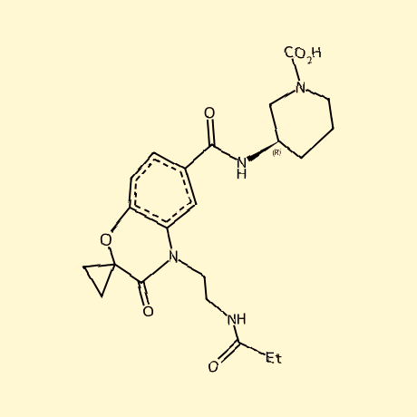 CCC(=O)NCCN1C(=O)C2(CC2)Oc2ccc(C(=O)N[C@@H]3CCCN(C(=O)O)C3)cc21